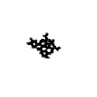 CCOC(=O)c1cn(N(C(=O)c2ccc(C)c(C)c2)C(=O)c2ccc(C)c(C)c2)c(C(=O)OCC)c1C(F)(F)F